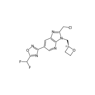 FC(F)c1nc(-c2cnc3c(c2)nc(CCl)n3C[C@@H]2CCO2)no1